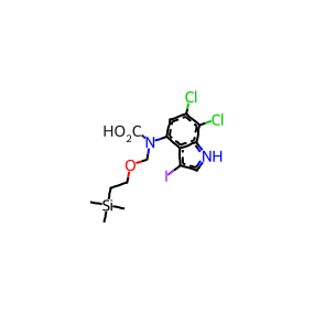 C[Si](C)(C)CCOCN(C(=O)O)c1cc(Cl)c(Cl)c2[nH]cc(I)c12